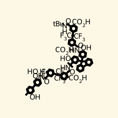 Cc1ccc(-c2ccc(NC(=O)c3cc(C(c4ccc(C(=O)O)c(C(=O)NC(C)(C)c5cc(C6(c7ccc(O)c(NC(=O)c8cc(C(c9ccc(C(=O)O)c(C(=O)NC(C)(C)C)c9)(C(F)(F)F)C(F)(F)F)ccc8C(=O)O)c7)c7ccccc7-c7ccccc76)ccc5O)c4)(C(F)(F)F)C(F)(F)F)ccc3C(=O)O)c(O)c2)cc1O